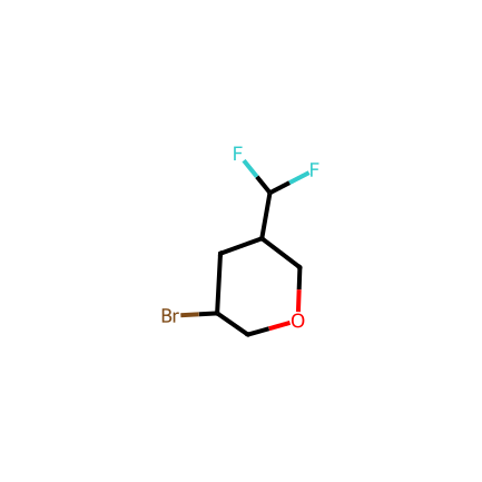 FC(F)C1COCC(Br)C1